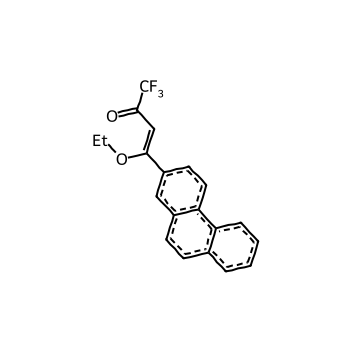 CCO/C(=C\C(=O)C(F)(F)F)c1ccc2c(ccc3ccccc32)c1